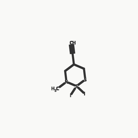 C#CC1CSS(I)(I)N(C)C1